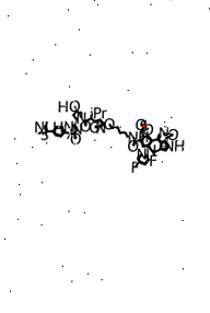 Cc1ncsc1-c1ccc([C@]2(C)NC([C@H]3C[C@@H](O)CN3C(=O)C(c3cc(OCCCCCNC(=O)c4cc5c(cc4CS(C)(=O)=O)-c4cn(C)c(=O)c6[nH]cc(c46)CN5c4ncc(F)cc4F)no3)C(C)C)=NC2=O)cc1